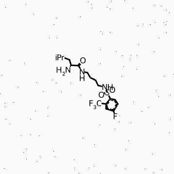 CC(C)C[C@H](N)C(=O)NCCCCNS(=O)(=O)c1ccc(F)cc1C(F)(F)F